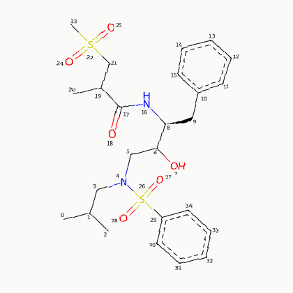 CC(C)CN(CC(O)[C@H](Cc1ccccc1)NC(=O)C(C)CS(C)(=O)=O)S(=O)(=O)c1ccccc1